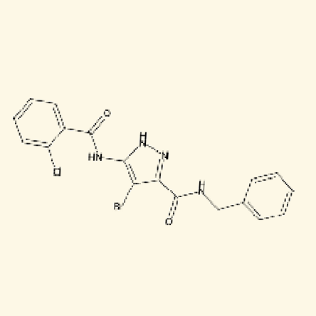 O=C(Nc1[nH]nc(C(=O)NCc2ccccc2)c1Br)c1ccccc1Cl